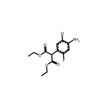 CCOC(=O)C(C(=O)OCC)c1cc(Cl)c(N)cc1F